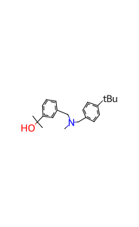 CN(Cc1ccc(C(C)(C)C)cc1)Cc1cccc(C(C)(C)O)c1